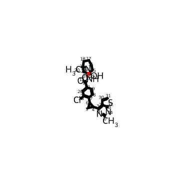 Cc1nc(C2CC2c2ccc(C(=O)NC3CC4CCC(C)(C3)N4C(=O)O)cc2Cl)c2ccsc2n1